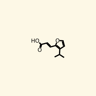 CC(C)c1ccoc1C=CC(=O)O